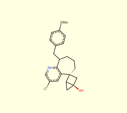 COc1ccc(CC2CCC[C@@]3(C[C@]4(O)CC43)c3cc(Cl)cnc32)cc1